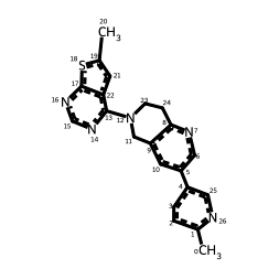 Cc1ccc(-c2cnc3c(c2)CN(c2ncnc4sc(C)cc24)CC3)cn1